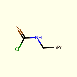 CCCCNC(=S)Cl